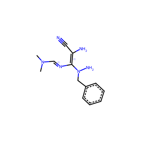 CN(C)/C=N/C(=C(/N)C#N)N(N)Cc1ccccc1